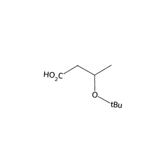 CC(CC(=O)O)OC(C)(C)C